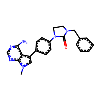 Cn1cc(-c2ccc(N3CCN(Cc4ccccc4)C3=O)cc2)c2c(N)ncnc21